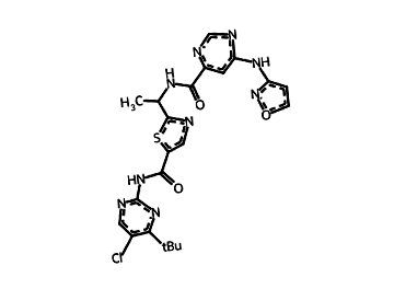 CC(NC(=O)c1cc(Nc2ccon2)ncn1)c1ncc(C(=O)Nc2ncc(Cl)c(C(C)(C)C)n2)s1